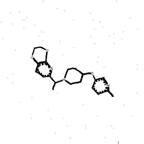 Cc1ccc(OC2CCN(C(C)c3ccc4c(n3)OCCO4)CC2)cn1